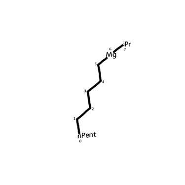 CCCCCCCCC[CH2][Mg][CH](C)C